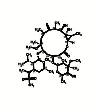 CO[C@]1(C)C[C@H](O[C@H]2[C@H](C)[C@@H](O[C@@H]3O[C@H](C)C[C@@H](N(C)S(C)(=O)=O)[C@@H]3N(C)C)[C@@](C)(OC)C[C@@H](C)C(=O)[C@H](C)[C@@H](O)[C@@]3(O)C(C)[C@H]3OC(=O)[C@@H]2C)O[C@@H](C)[C@@H]1O